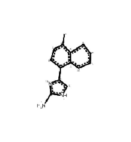 Cc1ccc(-c2c[nH]c(N)n2)c2ccccc12